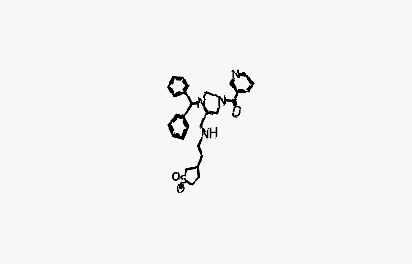 O=C(c1cccnc1)N1CCN(C(c2ccccc2)c2ccccc2)C(CNCCC2CCS(=O)(=O)C2)C1